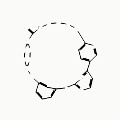 O=C1NCCCNc2ccc(cn2)-c2ccnc(n2)Nc2cccc(c2)CN2CCN1CC2